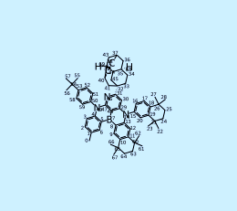 Cc1ccc2c(c1)B1c3cc4c(cc3N(c3ccc5c(c3)C(C)(C)CCC5(C)C)c3cc([C@]56CC[C@@H]7CC8CCC(C5)[C@H](C8)C7C6)nc(c31)N2c1ccc(C(C)(C)C)cc1)C(C)(C)CCC4(C)C